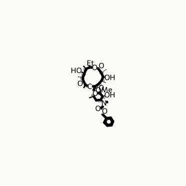 CC[C@H]1OC(=O)[C@H](C)[C@@H](O)[C@H](C)[C@@H](O[C@@H]2O[C@H](C)C[C@H](N(C)C(=O)OCc3ccccc3)[C@H]2O)[C@@](C)(OC)C[C@@H](C)C(=O)[C@H](C)[C@@H](O)[C@H]1C